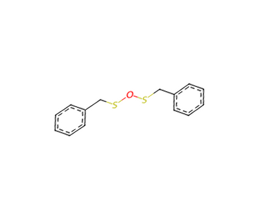 c1ccc(CSOSCc2ccccc2)cc1